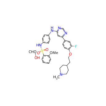 COc1ccccc1S(=O)(=O)Nc1ccc(Nc2cc(-c3ccc(OCCC4CCN(C)CC4)c(F)c3)ncn2)cc1.O=CO